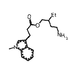 CCC(CCN)COC(=O)CCc1cn(C)c2ccccc12